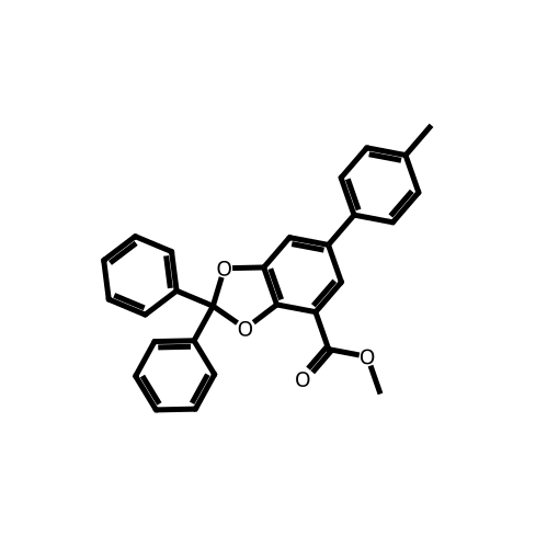 COC(=O)c1cc(-c2ccc(C)cc2)cc2c1OC(c1ccccc1)(c1ccccc1)O2